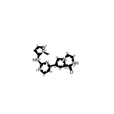 Cn1nccc1Nc1nccc(-c2cc3c(=O)[nH]ccn3c2)n1